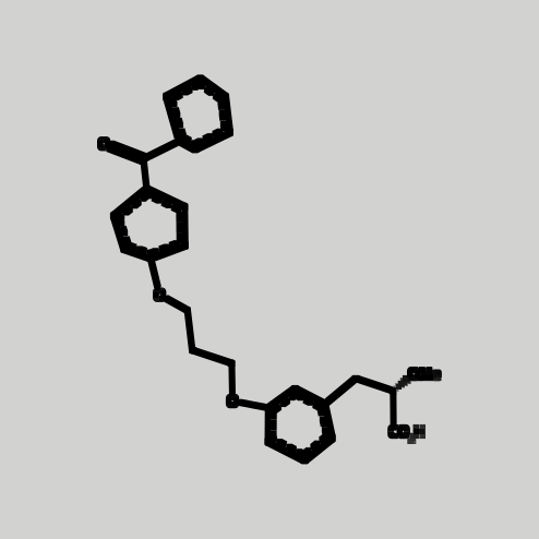 CO[C@@H](Cc1cccc(OCCCOc2ccc(C(=O)c3ccccc3)cc2)c1)C(=O)O